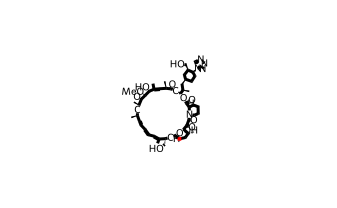 CO[C@H]1C(=O)[C@H](C)C[C@H](C)/C=C/C=C/C=C(\C)[C@@H](CO)C[C@@H]2CC[C@@H](C)[C@@](O)(O2)C(=O)C(=O)N2CCCC[C@H]2C(=O)O[C@H]([C@H](C)C[C@@H]2CC[C@H](n3cnnn3)[C@H](CO)C2)CC(=O)[C@H](C)/C=C(\C)[C@H]1O